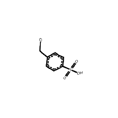 [O]Cc1ccc(S(=O)(=O)O)cc1